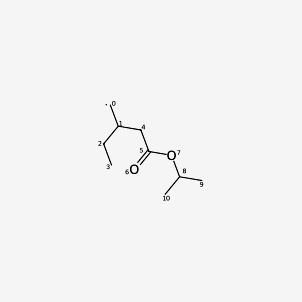 [CH2]C(CC)CC(=O)OC(C)C